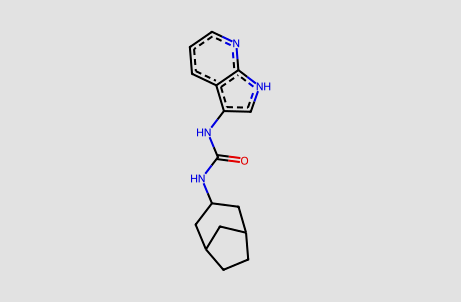 O=C(Nc1c[nH]c2ncccc12)NC1CC2CCC(C2)C1